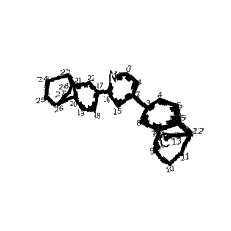 c1cc(-c2ccc3c(c2)C2CCC3CC2)cc(-c2ccc3c(c2)C2CCC3CC2)n1